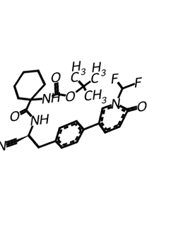 CC(C)(C)OC(=O)NC1(C(=O)N[C@H](C#N)Cc2ccc(-c3ccc(=O)n(C(F)F)c3)cc2)CCCCC1